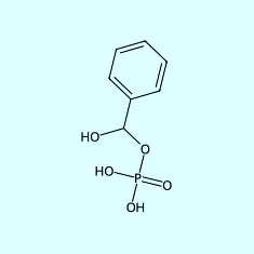 O=P(O)(O)OC(O)c1ccccc1